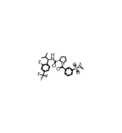 CC(C)[C@@H](NC(=O)[C@H]1CCCN1C(=O)c1cccc(S(=O)(=O)N(C)C)c1)c1ccc(C(F)(F)F)cc1F